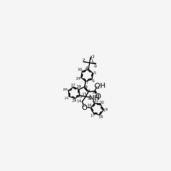 CC(C)(C)c1ccc(C2=C(C(=O)O)C3(COc4ccccc4N3)c3ccccc32)cc1